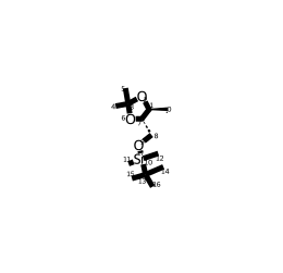 [CH2][C@@H]1OC(C)(C)O[C@H]1CO[Si](C)(C)C(C)(C)C